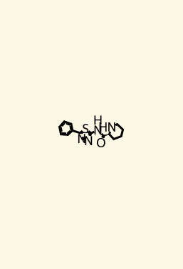 O=C(Nc1nnc(-c2ccccc2)s1)[C@@H]1CCCCN1